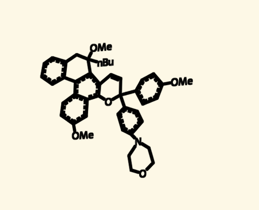 CCCCC1(OC)Cc2ccccc2-c2c1c1c(c3cc(OC)ccc23)OC(c2ccc(OC)cc2)(c2ccc(N3CCOCC3)cc2)C=C1